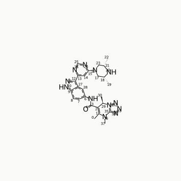 CC1=C(C(=O)Nc2ccc3[nH]nc(-c4cc(N5C[C@@H](C)N[C@@H](C)C5)ncn4)c3c2)[C@@H](C)n2nnnc2N1C